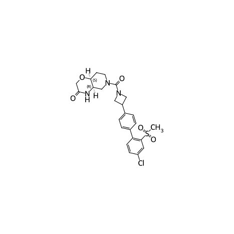 CS(=O)(=O)c1cc(Cl)ccc1-c1ccc(C2CN(C(=O)N3CC[C@@H]4OCC(=O)N[C@@H]4C3)C2)cc1